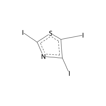 Ic1nc(I)c(I)s1